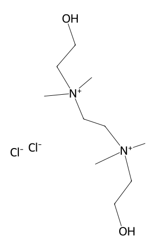 C[N+](C)(CCO)CC[N+](C)(C)CCO.[Cl-].[Cl-]